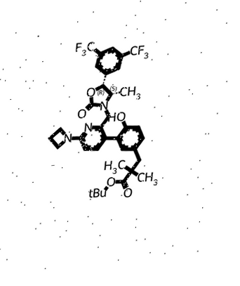 C[C@H]1[C@@H](c2cc(C(F)(F)F)cc(C(F)(F)F)c2)OC(=O)N1Cc1nc(N2CCC2)ccc1-c1cc(CC(C)(C)C(=O)OC(C)(C)C)ccc1O